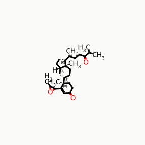 CC(C)C(=O)CC[C@@H](C)[C@H]1CC[C@H]2C[C@@H]([C@@]3(C)CCC(=O)C=C3C3OC3C)CC[C@@]21C